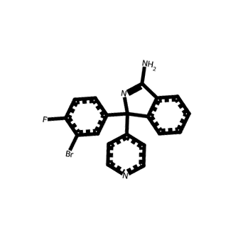 NC1=NC(c2ccncc2)(c2ccc(F)c(Br)c2)c2ccccc21